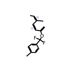 C=C(/C=C\C(C)=C/C)OC(F)(F)c1ccc(C)cc1